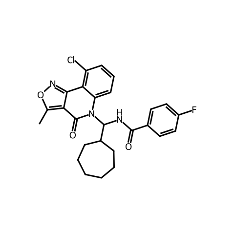 Cc1onc2c1c(=O)n(C(NC(=O)c1ccc(F)cc1)C1CCCCCC1)c1cccc(Cl)c21